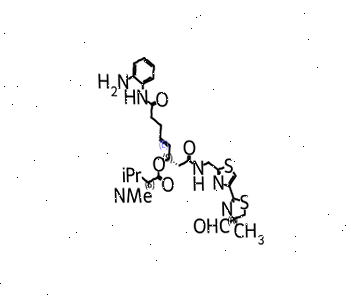 CN[C@H](C(=O)O[C@H](/C=C/CCC(=O)Nc1ccccc1N)CC(=O)NCc1nc(C2=N[C@](C)(C=O)CS2)cs1)C(C)C